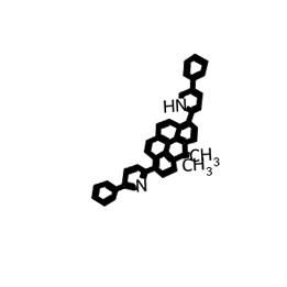 CC1(C)c2ccc(C3=CC=C(c4ccccc4)CN3)c3ccc4ccc5c(-c6ccc(-c7ccccc7)cn6)ccc1c5c4c23